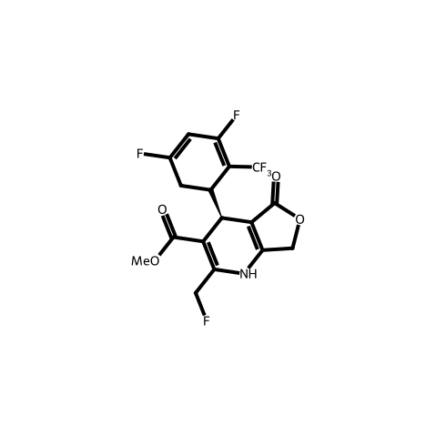 COC(=O)C1=C(CF)NC2=C(C(=O)OC2)[C@@H]1C1CC(F)=CC(F)=C1C(F)(F)F